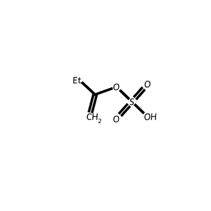 C=C(CC)OS(=O)(=O)O